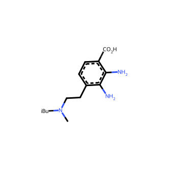 CCC(C)N(C)CCc1ccc(C(=O)O)c(N)c1N